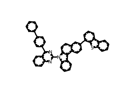 c1ccc(-c2ccc(-c3nc(-n4c5ccccc5c5c6ccc(-c7cccc8c7sc7ccccc78)cc6ccc54)nc4ccccc34)cc2)cc1